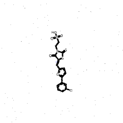 O=C1/C(=C/c2ccc(-c3cccc(Cl)c3)o2)SC(=S)N1CCS(=O)(=O)O